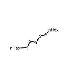 CCCCCCSSSSSCCCCCC